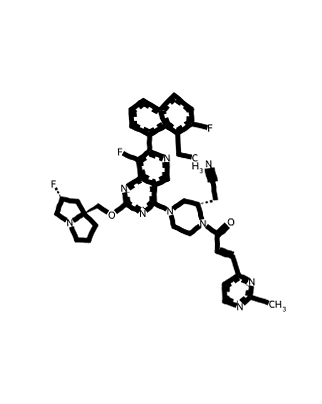 CCc1c(F)ccc2cccc(-c3ncc4c(N5CCN(C(=O)/C=C/c6ccnc(C)n6)[C@@H](CC#N)C5)nc(OC[C@@]56CCCN5C[C@H](F)C6)nc4c3F)c12